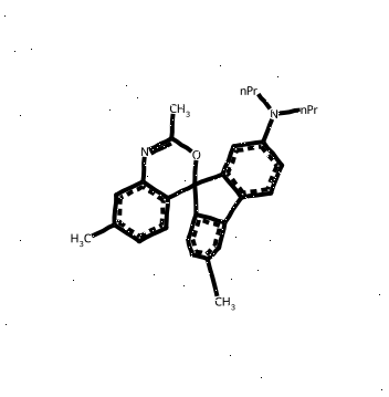 CCCN(CCC)c1ccc2c(c1)C1(OC(C)=Nc3cc(C)ccc31)c1ccc(C)cc1-2